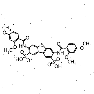 COc1ccc(C(=O)Nc2cc3sc4cc(NC(=O)c5ccc(OC)cc5OC)c(S(=O)(=O)O)cc4c3cc2S(=O)(=O)O)c(OC)c1